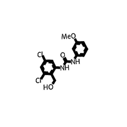 COc1cccc(NC(=O)Nc2cc(Cl)cc(Cl)c2CO)c1